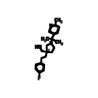 Cc1ccc(C(C)(C)N2CC[C@](CO)(CCc3ccc(F)cc3)C2)cn1